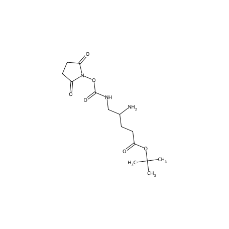 CC(C)(C)OC(=O)CCC(N)CNC(=O)ON1C(=O)CCC1=O